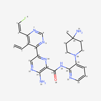 C=Cc1c(/C=C\F)ncnc1-c1cnc(N)c(C(=O)Nc2ncccc2N2CCC(C)(N)CC2)n1